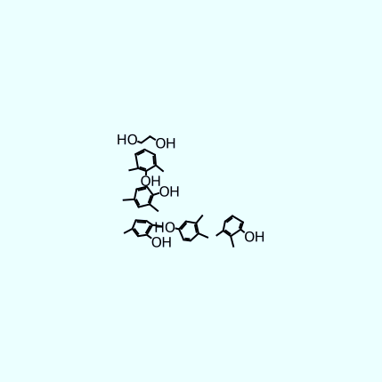 Cc1ccc(C)c(O)c1.Cc1ccc(O)c(C)c1.Cc1ccc(O)cc1C.Cc1cccc(C)c1O.Cc1cccc(O)c1C.OCCO